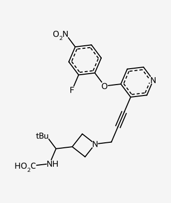 CC(C)(C)C(NC(=O)O)C1CN(CC#Cc2cnccc2Oc2ccc([N+](=O)[O-])cc2F)C1